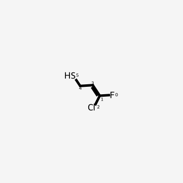 FC(Cl)=CCS